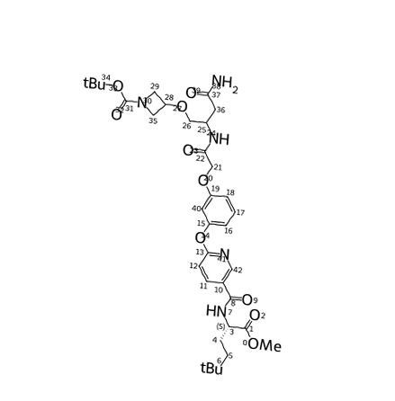 COC(=O)[C@H](CCC(C)(C)C)NC(=O)c1ccc(Oc2cccc(OCC(=O)NC(COC3CN(C(=O)OC(C)(C)C)C3)CC(N)=O)c2)nc1